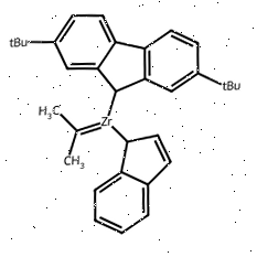 C[C](C)=[Zr]([CH]1C=Cc2ccccc21)[CH]1c2cc(C(C)(C)C)ccc2-c2ccc(C(C)(C)C)cc21